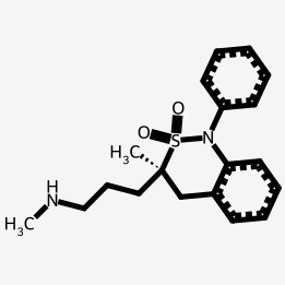 CNCCC[C@]1(C)Cc2ccccc2N(c2ccccc2)S1(=O)=O